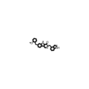 COc1ccccc1Cc1ccc2c3cnn(Cc4cccc5[nH]ncc45)c(=O)c3n(C)c2c1